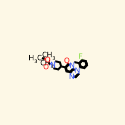 CC(C)(C)OC(=O)N1CCC(c2cc3nccnc3n(Cc3ccccc3F)c2=O)CC1